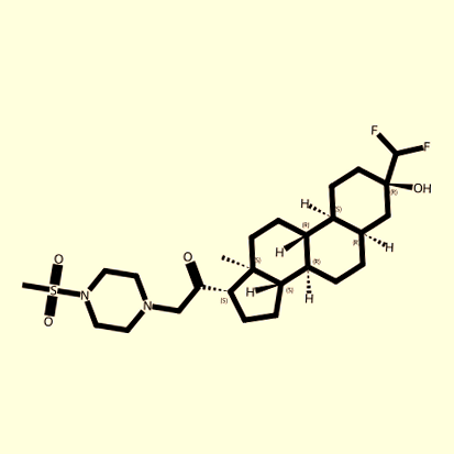 C[C@]12CC[C@H]3[C@@H](CC[C@@H]4C[C@@](O)(C(F)F)CC[C@@H]43)[C@@H]1CC[C@@H]2C(=O)CN1CCN(S(C)(=O)=O)CC1